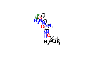 CC1=C(C(=O)Nc2ccc(-c3ccccc3OC(F)(F)F)c(N)n2)CNN1COCC[Si](C)(C)C